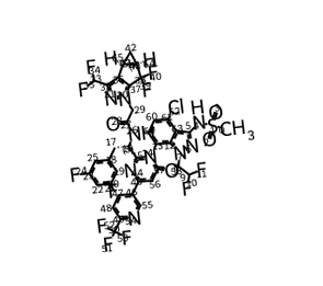 CS(=O)(=O)Nc1nn(CC(F)F)c2c(-n3c([C@H](Cc4cc(F)cc(F)c4)NC(=O)Cn4nc(C(F)F)c5c4C(F)(F)[C@@H]4C[C@H]54)nc(-c4ccc(C(F)(F)F)nc4)cc3=O)ccc(Cl)c12